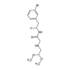 COC(CNCC(=O)NC(F)Cc1cccc(Br)c1)OC